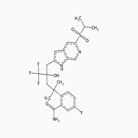 CC(C)S(=O)(=O)c1cc2cc(CC(O)(CC(C)(C)c3ccc(F)cc3C(N)=O)C(F)(F)F)[nH]c2cn1